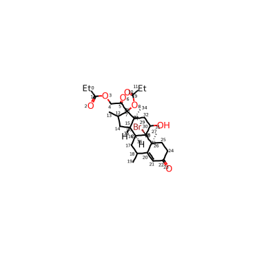 CCC(=O)OCC(=O)[C@@]1(OC(=O)CC)C(C)C[C@H]2[C@@H]3CC(C)C4=CC(=O)CC[C@]4(C)[C@@]3(Br)C(O)C[C@@]21C